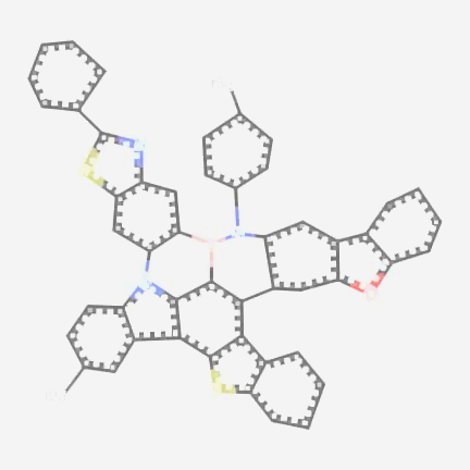 CC(C)(C)c1ccc(N2B3c4cc5nc(-c6ccccc6)sc5cc4-n4c5ccc(C(C)(C)C)cc5c5c6sc7ccccc7c6c(c3c54)-c3cc4oc5ccccc5c4cc32)cc1